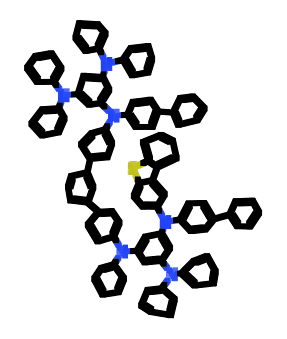 c1ccc(-c2ccc(N(c3ccc(-c4cccc(-c5ccc(N(c6ccccc6)c6cc(N(c7ccccc7)c7ccccc7)cc(N(c7ccc(-c8ccccc8)cc7)c7ccc8sc9ccccc9c8c7)c6)cc5)c4)cc3)c3cc(N(c4ccccc4)c4ccccc4)cc(N(c4ccccc4)c4ccccc4)c3)cc2)cc1